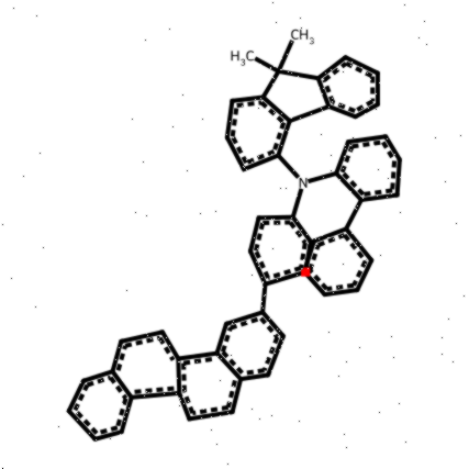 CC1(C)c2ccccc2-c2c(N(c3ccc(-c4ccc5ccc6c7ccccc7ccc6c5c4)cc3)c3ccccc3-c3ccccc3)cccc21